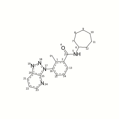 Cc1c(C(=O)NC2CCCCCC2)cccc1-n1nnc2cccnc21